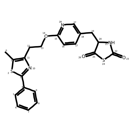 Cc1sc(-c2ccccc2)nc1CCOc1ccc(CC2NC(=O)SC2=O)cn1